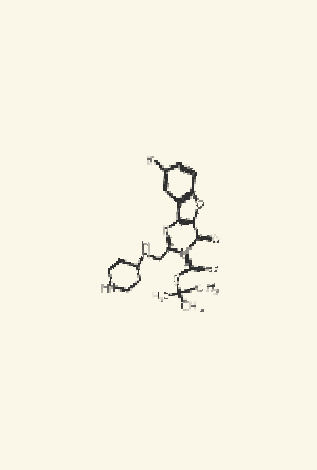 CC(C)(C)OC(=O)n1c(CNC2CCNCC2)nc2c(oc3ccc(Br)cc32)c1=O